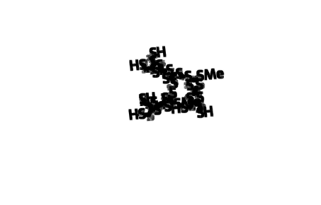 CSC1=C(SCSC2=C(SCSC3=C(SC)SC(=C4SC(CS)=C(CS)S4)S3)SC(=C3SC(CS)=C(CS)S3)S2)SC(=C2SC(CS)=C(CS)S2)S1